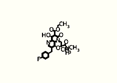 CCOC(=O)c1c(O)c2ncc(Cc3ccc(F)cc3)c3c2n(c1=O)C[C@](C)(C(=O)NC)O3